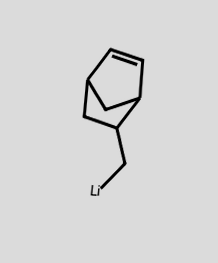 [Li][CH2]C1CC2C=CC1C2